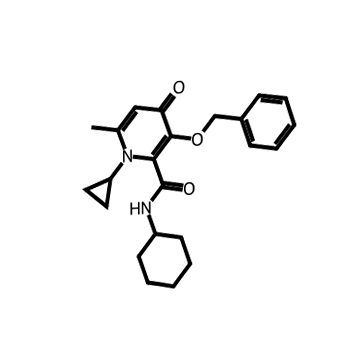 Cc1cc(=O)c(OCc2ccccc2)c(C(=O)NC2CCCCC2)n1C1CC1